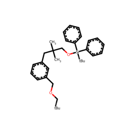 CC(C)(C)COCc1cccc(CC(C)(C)CO[Si](c2ccccc2)(c2ccccc2)C(C)(C)C)c1